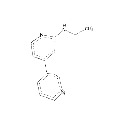 CCNc1cc(-c2cccnc2)ccn1